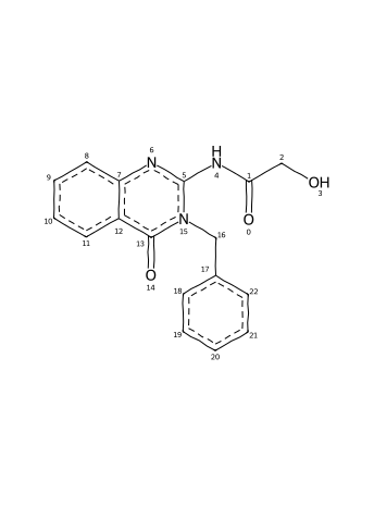 O=C(CO)Nc1nc2ccccc2c(=O)n1Cc1ccccc1